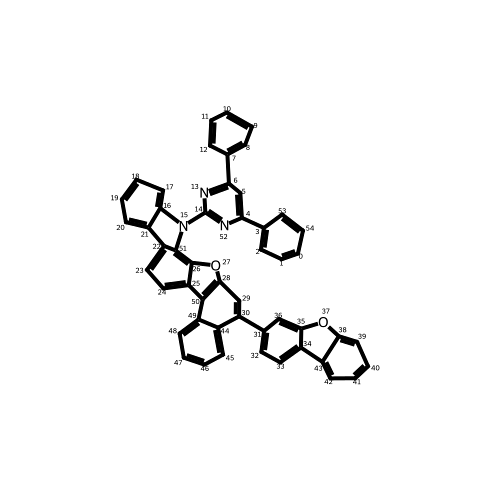 c1ccc(-c2cc(-c3ccccc3)nc(-n3c4ccccc4c4ccc5c(oc6cc(-c7ccc8c(c7)oc7ccccc78)c7ccccc7c65)c43)n2)cc1